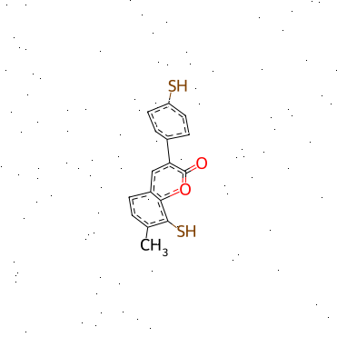 Cc1ccc2cc(-c3ccc(S)cc3)c(=O)oc2c1S